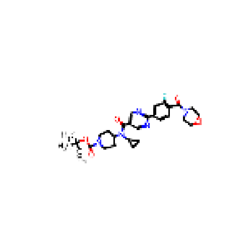 CC(C)(C)OC(=O)N1CCC(N(C(=O)c2cnc(-c3ccc(C(=O)N4CCOCC4)c(F)c3)nc2)C2CC2)CC1